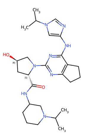 CC(C)N1CCCC(NC(=O)[C@@H]2C[C@@H](O)CN2c2nc3c(c(Nc4cn(C(C)C)cn4)n2)CCC3)C1